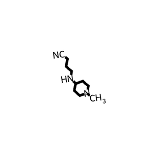 CN1CCC(NCCCC#N)CC1